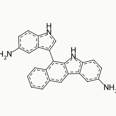 Nc1ccc2[nH]cc(-c3c4ccccc4cc4c3[nH]c3ccc(N)cc34)c2c1